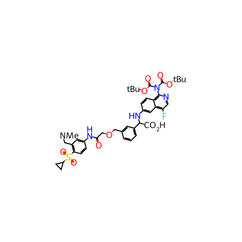 CNCc1cc(NC(=O)COCc2cccc(C(Nc3ccc4c(N(C(=O)OC(C)(C)C)C(=O)OC(C)(C)C)ncc(F)c4c3)C(=O)O)c2)ccc1S(=O)(=O)C1CC1